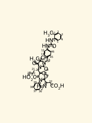 Cc1ccccc1NC(=O)Nc1ccc(CN2C(=O)N([C@@H](CC(C)C)C(=O)[C@@H](C(=O)O)N(C(=O)[C@@H](N)CC(=O)O)c3ccccc3)C(=O)C2(C)C)cc1